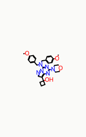 COc1ccc(CN(Cc2ccc(OC)cc2)c2nc(N3CCOCC3)nc3c(C4(O)CCC4)cnn23)cc1